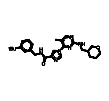 Cc1cnc(NCC2CCCOC2)nc1-n1cnc(C(=O)NCc2cccc(C(C)(C)C)c2)c1